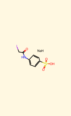 O=C(CI)Nc1ccc(S(=O)(=O)O)cc1.[NaH]